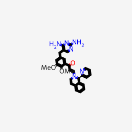 COc1cc(Cc2cnc(N)nc2N)cc(C(=O)/C=C/N2CCc3ccccc3[C@@H]2c2ccccn2)c1OC